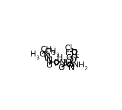 C[C@@H](Oc1cc(C(=O)Nc2ccc(C(=O)N3CCN(C(C)(C)C)CC3)cc2)cnc1N)c1c(F)ccc(Cl)c1F